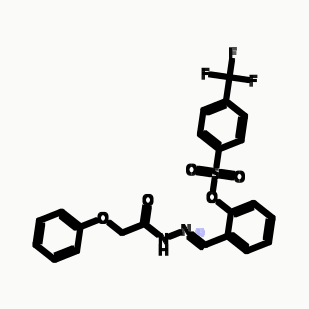 O=C(COc1ccccc1)N/N=C/c1ccccc1OS(=O)(=O)c1ccc(C(F)(F)F)cc1